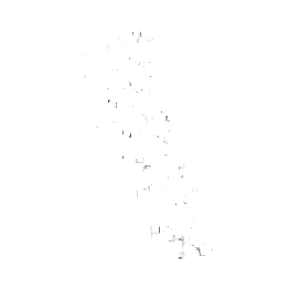 COC(=O)C1(Nc2nc(Cl)nc3c2ncn3C2O[C@H](COCP(=O)(O)O)[C@@H](O)[C@H]2O)CCCC1